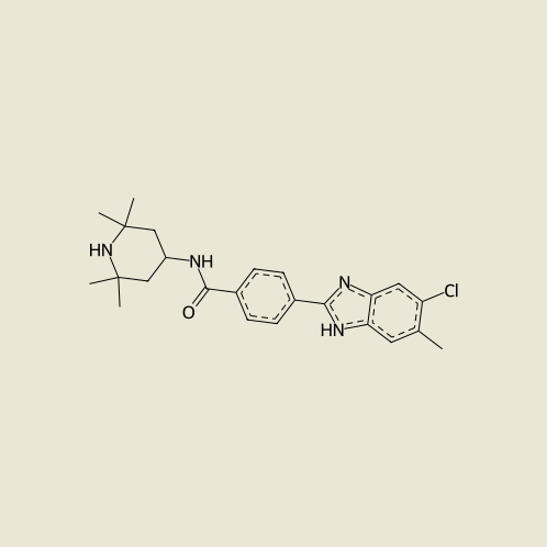 Cc1cc2[nH]c(-c3ccc(C(=O)NC4CC(C)(C)NC(C)(C)C4)cc3)nc2cc1Cl